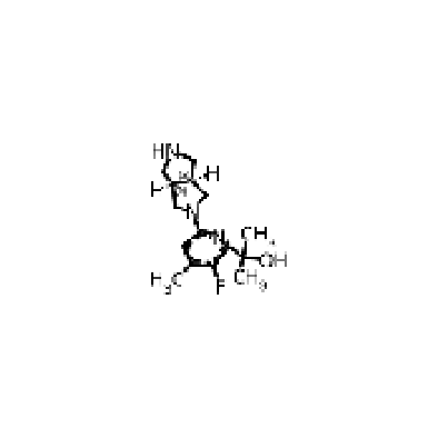 Cc1cc(N2C[C@H]3CNC[C@H]3C2)nc(C(C)(C)O)c1F